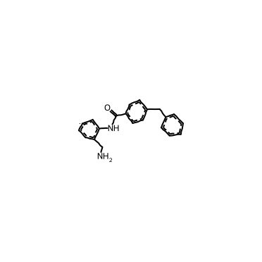 NCc1cc[c]cc1NC(=O)c1ccc(Cc2ccccc2)cc1